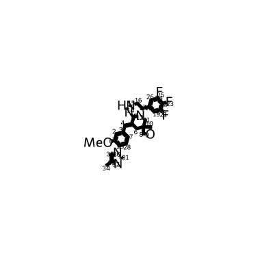 COc1cc(/C=C2\CC3(COC3)CN3C2=NNCC3c2cc(F)c(F)c(F)c2)ccc1-n1cnc(C)c1